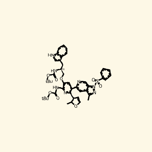 Cc1nn(S(=O)(=O)c2ccccc2)c2cnc(-c3cc(OC[C@H](Cc4c[nH]c5ccccc45)NC(=O)OC(C)(C)C)c(NC(=O)OC(C)(C)C)nc3C3C=COC3C)cc12